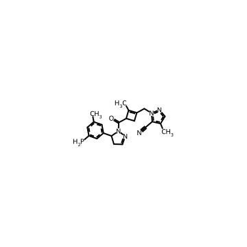 CC1=C(Cn2ncc(C)c2C#N)CC1C(=O)N1N=CCC1c1cc(C)cc(P)c1